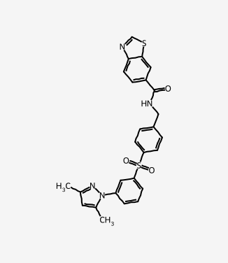 Cc1cc(C)n(-c2cccc(S(=O)(=O)c3ccc(CNC(=O)c4ccc5ncsc5c4)cc3)c2)n1